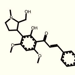 COc1cc(OC)c(C2CCN(C)C2CO)c(O)c1C(=O)C=Cc1ccccc1